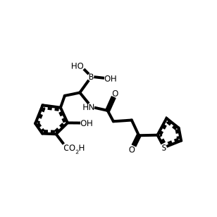 O=C(CCC(=O)c1cccs1)NC(Cc1cccc(C(=O)O)c1O)B(O)O